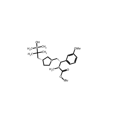 COc1cccc([C@@H](CN2CC[C@H](CC(C)(C)[Si](C)(C)O)C2)N(C)C(=O)OC(C)(C)C)c1